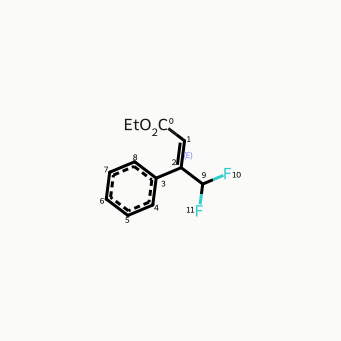 CCOC(=O)/C=C(\c1ccccc1)C(F)F